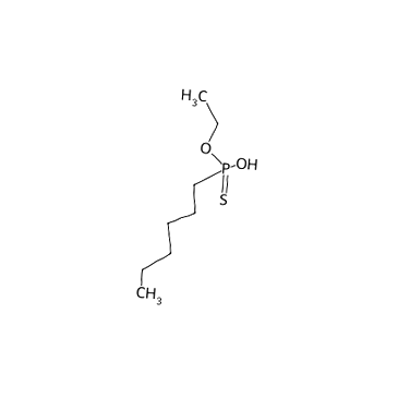 CCCCCCP(O)(=S)OCC